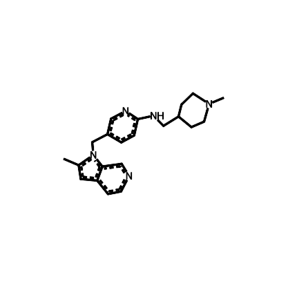 Cc1cc2ccncc2n1Cc1ccc(NCC2CCN(C)CC2)nc1